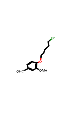 COc1cc(C=O)ccc1OCCCCCBr